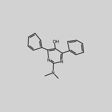 CN(C)c1nc(-c2ccccc2)c(O)c(-c2ccccc2)n1